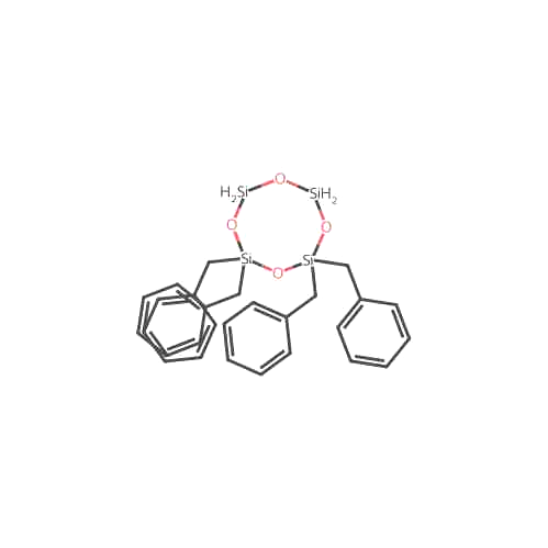 c1ccc(C[Si]2(Cc3ccccc3)O[SiH2]O[SiH2]O[Si](Cc3ccccc3)(Cc3ccccc3)O2)cc1